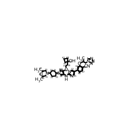 CC(Cn1cnnn1)Oc1cc(-c2cnc(Nc3cn(C4CCC(N5C[C@@H](C)O[C@@H](C)C5)CC4)nc3OCCC3(O)CCC3)nc2)ccc1C#N